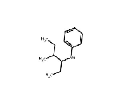 CCC(C)C(CC)Nc1ccccc1